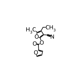 CCc1c(C)oc(OC(=O)c2ccco2)c1C#N